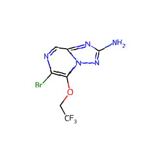 Nc1nc2cnc(Br)c(OCC(F)(F)F)n2n1